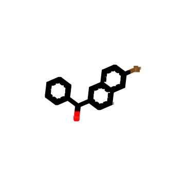 O=C(c1ccccc1)c1c[c]c2cc(Br)ccc2c1